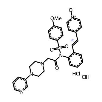 COc1ccc(S(=O)(=O)N(C(=O)CN2CCN(c3cccnc3)CC2)c2ccccc2/C=C/c2cc[n+]([O-])cc2)cc1.Cl.Cl